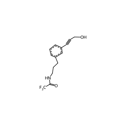 O=C(NCCCc1cccc(C#CCO)c1)C(F)(F)F